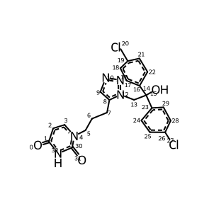 O=c1ccn(CCCc2cnnn2CC(O)(c2ccc(Cl)cc2)c2ccc(Cl)cc2)c(=O)[nH]1